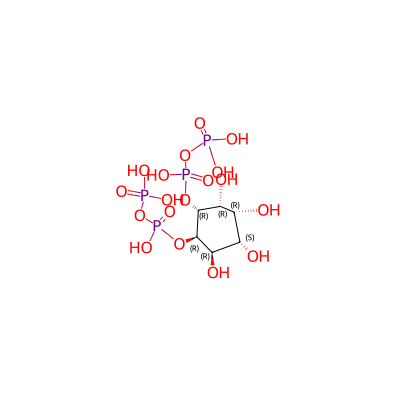 O=P(O)(O)OP(=O)(O)O[C@@H]1[C@H](O)[C@H](O)[C@H](O)[C@@H](O)[C@H]1OP(=O)(O)OP(=O)(O)O